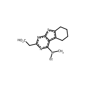 CCN(C)c1nc(CC(=O)O)nc2sc3c(c12)CCCC3